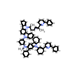 C/C(=C\CCC(C)n1c2ccccc2c2ccc3c(c4ccccc4n3-c3cccc(N(C)c4cc5c6c(n(C7=CC=CCC(c8cccc(-c9ccccc9)n8)=C7)c5cc4-c4ccccc4)C=CCCC6)c3)c21)c1cccc(-c2ccccc2)n1